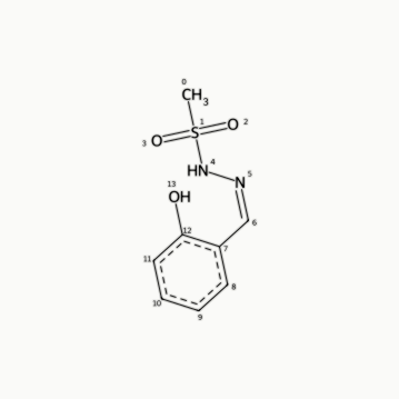 CS(=O)(=O)N/N=C\c1ccccc1O